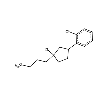 [SiH3]CCCC1(Cl)CCC(c2ccccc2Cl)C1